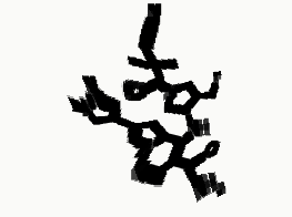 Cn1cc(-c2cc3c(N[C@@H]4CN(C(=O)C(C)(C)C#N)C[C@H]4CF)c(C(N)=O)cnn3c2)cn1